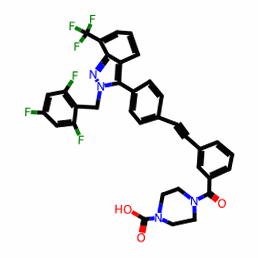 O=C(O)N1CCN(C(=O)c2cccc(C#Cc3ccc(-c4c5cccc(C(F)(F)F)c5nn4Cc4c(F)cc(F)cc4F)cc3)c2)CC1